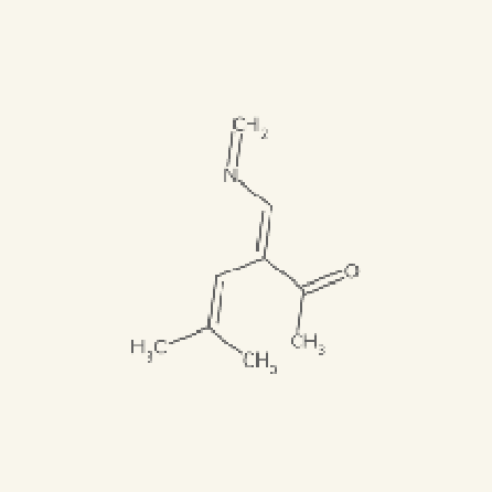 C=N/C=C(\C=C(C)C)C(C)=O